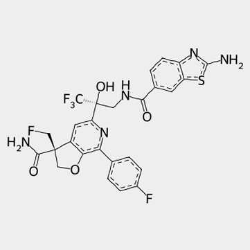 NC(=O)[C@@]1(CF)COc2c1cc([C@@](O)(CNC(=O)c1ccc3nc(N)sc3c1)C(F)(F)F)nc2-c1ccc(F)cc1